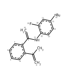 C=C(C)c1ccccc1C(=C)Nc1ccc(CCCC)cc1F